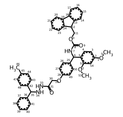 COc1ccc(C(NC(=O)OCC2c3ccccc3-c3ccccc32)c2ccc(OCC(=O)NNC(c3ccccc3)c3ccc(C)cc3)cc2)c(OC)c1